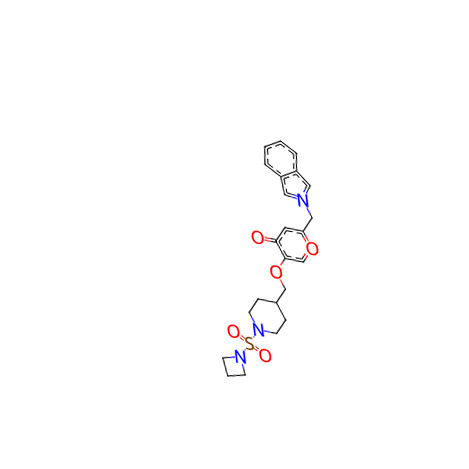 O=c1cc(Cn2cc3ccccc3c2)occ1OCC1CCN(S(=O)(=O)N2CCC2)CC1